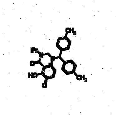 Cc1ccc(C(c2ccc(C)cc2)N2CN(C(C)C)C(=O)c3c(O)c(=O)ccn32)cc1